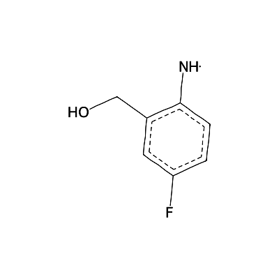 [NH]c1ccc(F)cc1CO